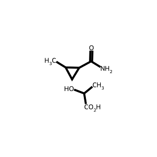 CC(O)C(=O)O.CC1CC1C(N)=O